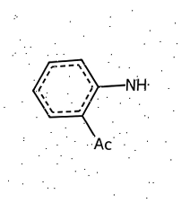 CC(=O)c1ccccc1[NH]